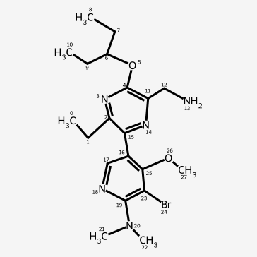 CCc1nc(OC(CC)CC)c(CN)nc1-c1cnc(N(C)C)c(Br)c1OC